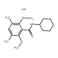 COc1c(C)cc(C)c(OC)c1C(=O)P[C]1CCCCC1.[LiH]